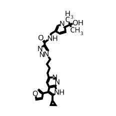 CC(C)(O)c1ccc(CNC(=O)c2cn(CCCCc3cc4c(-c5ccoc5)c(C5CC5)[nH]c4nn3)nn2)cn1